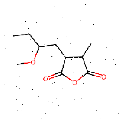 CCC(CC1C(=O)OC(=O)C1C)OC